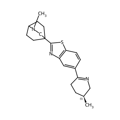 C[C@H]1CCC(c2ccc3sc(C45CCC(CC4)N(C)C5)nc3c2)=NC1